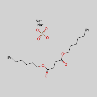 CC(C)CCCCCOC(=O)CCC(=O)OCCCCCC(C)C.O=S(=O)([O-])[O-].[Na+].[Na+]